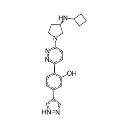 Oc1cc(-c2cn[nH]c2)ccc1-c1ccc(N2CC[C@@H](NC3CCC3)C2)nn1